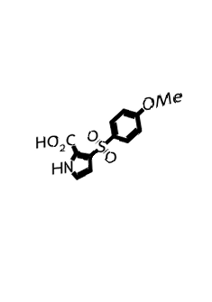 COc1ccc(S(=O)(=O)c2cc[nH]c2C(=O)O)cc1